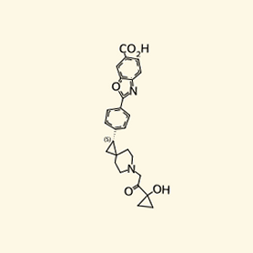 O=C(O)c1ccc2nc(-c3ccc([C@H]4CC45CCN(CC(=O)C4(O)CC4)CC5)cc3)oc2c1